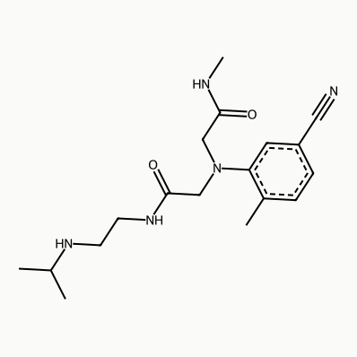 CNC(=O)CN(CC(=O)NCCNC(C)C)c1cc(C#N)ccc1C